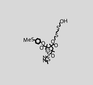 CCC(C)(CC(C)(CC(C)(C)C(=O)Oc1ccc(SC)cc1)C(=O)OCCSCCSCCO)C(=O)Sc1nnc(C)s1